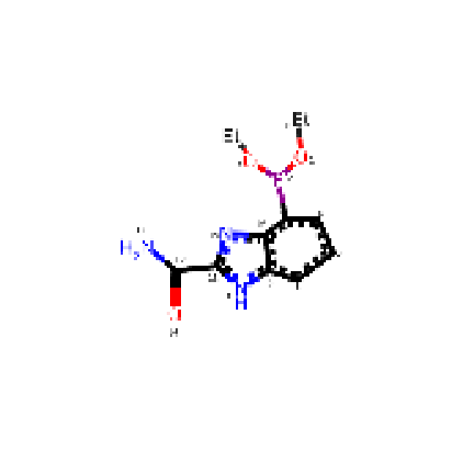 CCOP(OCC)c1cccc2[nH]c(C(N)=O)nc12